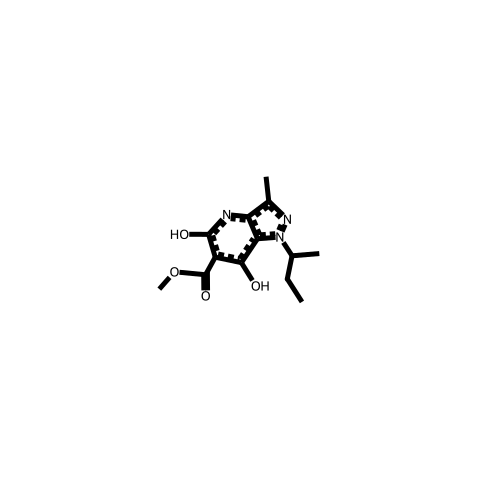 CCC(C)n1nc(C)c2nc(O)c(C(=O)OC)c(O)c21